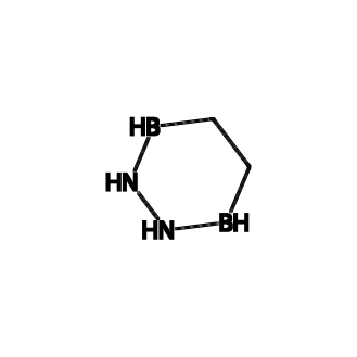 B1CCBNN1